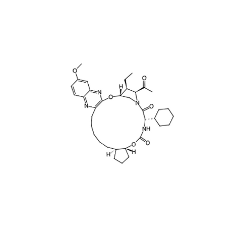 CC[C@@H]1[C@@H]2CN(C(=O)[C@H](C3CCCCC3)NC(=O)O[C@@H]3CCC[C@H]3CCCCCc3nc4ccc(OC)cc4nc3O2)[C@@H]1C(C)=O